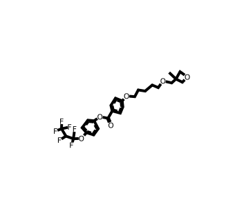 CC1(COCCCCCOc2ccc(C(=O)Oc3ccc(OC(F)(F)C(F)C(F)(F)F)cc3)cc2)COC1